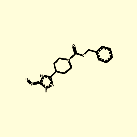 O=S=c1[nH]nc(C2CCN(C(=O)OCc3ccccc3)CC2)[nH]1